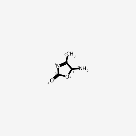 CC1=NC(=O)OC1N